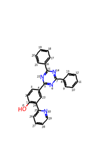 Oc1ccc(-c2nc(-c3ccccc3)nc(-c3ccccc3)n2)cc1-c1ccccn1